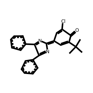 CC(C)(C)C1=CC(=C2N=C(c3ccccc3)C(c3ccccc3)=N2)C=C(Cl)C1=O